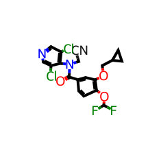 N#CCN(C(=O)c1ccc(OC(F)F)c(OCC2CC2)c1)c1c(Cl)cncc1Cl